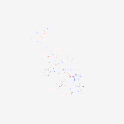 CC[C@H](C)[C@H](NC(=O)CNC(=O)[C@@H](NC(=O)[C@H](Cc1c[nH]c2ccccc12)NC(=O)[C@H](Cc1ccccc1)NC(=O)[C@H](CC(C)C)NC(=O)[C@H](Cc1c[nH]c2ccccc12)NC(=O)[C@H](CS)NC(=O)[C@H](Cc1ccc(O)cc1)NC(=O)[C@H](CO)NC(=O)[C@H](C)NC(=O)[C@@H](N)CC(C)C)[C@@H](C)O)C(=O)N[C@@H](C)C(N)=O